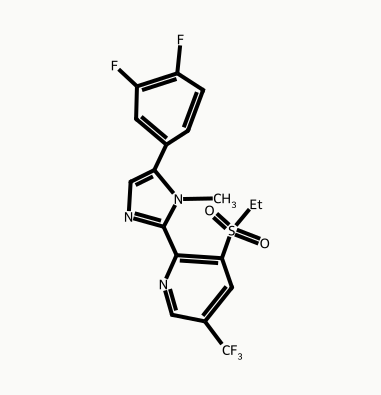 CCS(=O)(=O)c1cc(C(F)(F)F)cnc1-c1ncc(-c2ccc(F)c(F)c2)n1C